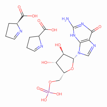 Nc1nc(=O)c2ncn([C@@H]3O[C@H](COP(=O)(O)O)[C@H](O)[C@H]3O)c2[nH]1.O=C(O)C1CCC=N1.O=C(O)[C@@H]1CCC=N1